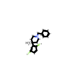 CC1(c2cc(F)ccc2F)CCN(Cc2ccccc2)CC1